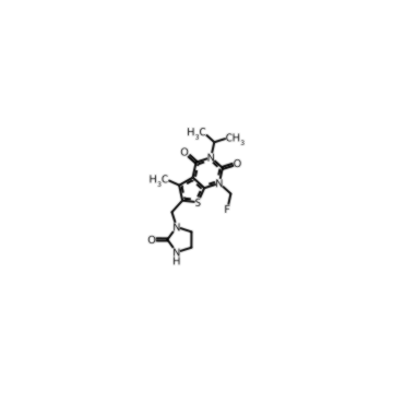 Cc1c(CN2CCNC2=O)sc2c1c(=O)n(C(C)C)c(=O)n2CF